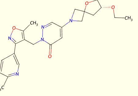 CCO[C@H]1COC2(C1)CN(c1cnn(Cc3c(-c4ccc(C)nc4)noc3C)c(=O)c1)C2